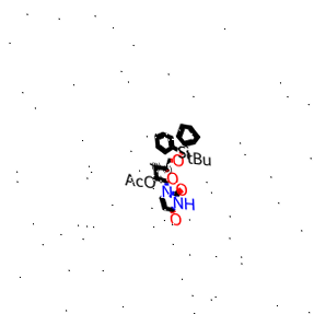 CC(=O)O[C@H]1C(n2ccc(=O)[nH]c2=O)O[C@H](CO[Si](c2ccccc2)(c2ccccc2)C(C)(C)C)[C@H]1C